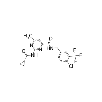 Cc1cc(C(=O)NCc2ccc(Cl)c(C(F)(F)F)c2)nc(NC(=O)C2CC2)n1